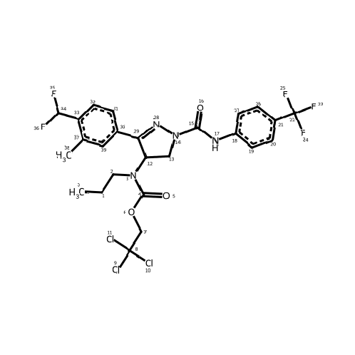 CCCN(C(=O)OCC(Cl)(Cl)Cl)C1CN(C(=O)Nc2ccc(C(F)(F)F)cc2)N=C1c1ccc(C(F)F)c(C)c1